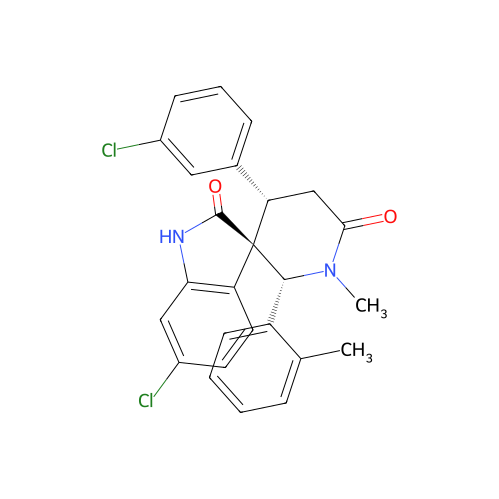 Cc1ccccc1[C@H]1N(C)C(=O)C[C@@H](c2cccc(Cl)c2)[C@]12C(=O)Nc1cc(Cl)ccc12